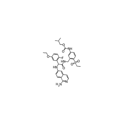 CCOc1ccc(F)c(C(Nc2ccc3c(N)nccc3c2)C(=O)NCc2cc(NC(=O)OCC(C)C)ccc2S(=O)(=O)CC)c1